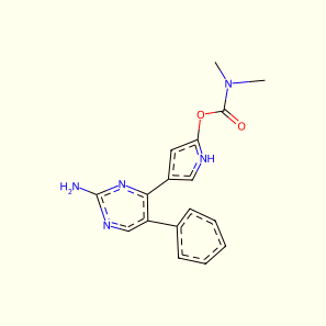 CN(C)C(=O)Oc1cc(-c2nc(N)ncc2-c2ccccc2)c[nH]1